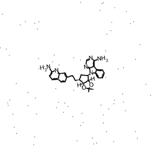 CC1(C)O[C@@H]2[C@@H](CCc3ccc4ccc(N)nc4c3)C[C@@H](n3c4ccccc4c4c(N)ncnc43)[C@@H]2O1